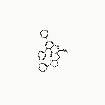 Nc1nc2cc(-c3ccccc3)cc(-c3ccccc3)c2c(=O)n1C[C@H]1CCC(c2ccccc2)O1